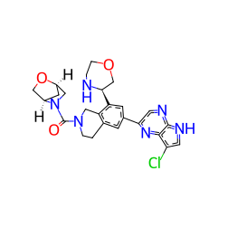 O=C(N1CCc2cc(-c3cnc4[nH]cc(Cl)c4n3)cc([C@@H]3COCCN3)c2C1)N1C[C@H]2C[C@@H]1CO2